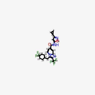 O=C(Nc1cc(C2CC2)no1)c1ccn2c(CC3CCC(F)(F)CC3)c(C(F)(F)F)nc2c1